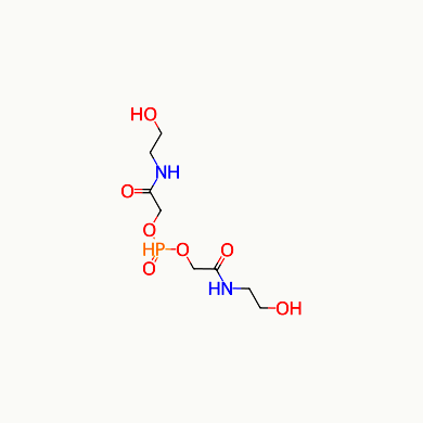 O=C(CO[PH](=O)OCC(=O)NCCO)NCCO